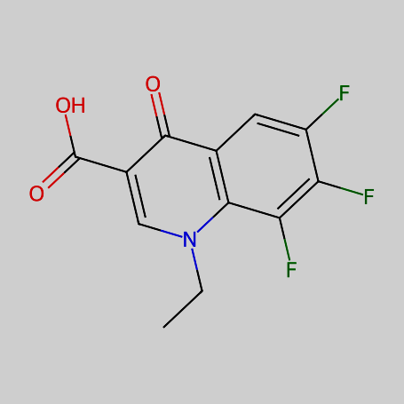 CCn1cc(C(=O)O)c(=O)c2cc(F)c(F)c(F)c21